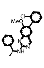 COc1cc2nc(N[C@@H](C)c3ccccc3)ncc2cc1-c1ccccc1Cl